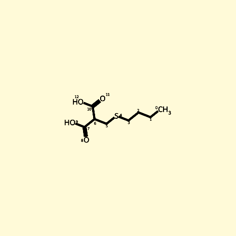 CCCCSCC(C(=O)O)C(=O)O